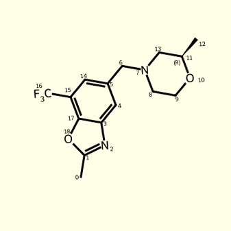 Cc1nc2cc(CN3CCO[C@H](C)C3)cc(C(F)(F)F)c2o1